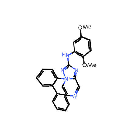 COc1ccc(OC)c(NC2=N[N+]3(c4ccccc4-c4ccccc4)C=CN=CC3=N2)c1